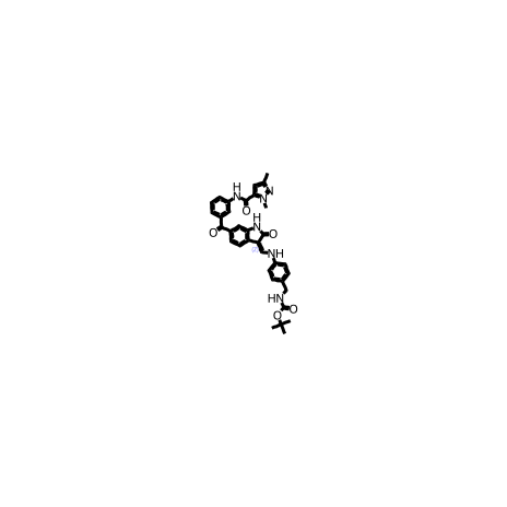 Cc1cc(C(=O)Nc2cccc(C(=O)c3ccc4c(c3)NC(=O)/C4=C\Nc3ccc(CNC(=O)OC(C)(C)C)cc3)c2)n(C)n1